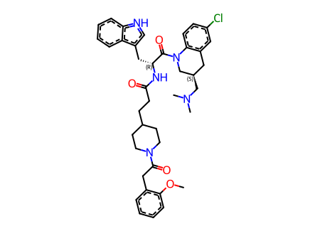 COc1ccccc1CC(=O)N1CCC(CCC(=O)N[C@H](Cc2c[nH]c3ccccc23)C(=O)N2C[C@H](CN(C)C)Cc3cc(Cl)ccc32)CC1